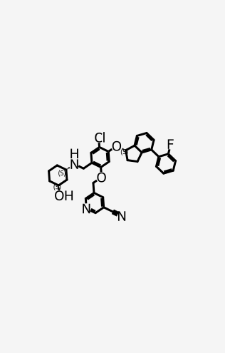 N#Cc1cncc(COc2cc(O[C@H]3CCc4c(-c5ccccc5F)cccc43)c(Cl)cc2CN[C@H]2CCC[C@H](O)C2)c1